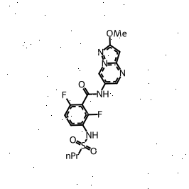 CCCS(=O)(=O)Nc1ccc(F)c(C(=O)Nc2cnc3cc(OC)nn3c2)c1F